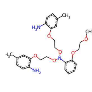 COCCOc1ccccc1N(OCCOc1cc(C)ccc1N)OCCOc1cc(C)ccc1N